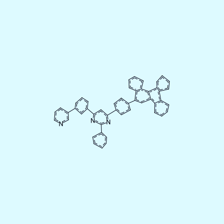 c1ccc(-c2nc(-c3ccc(-c4cc5c6ccccc6c6ccccc6c5c5ccccc45)cc3)cc(-c3cccc(-c4cccnc4)c3)n2)cc1